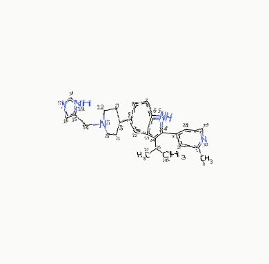 Cc1cc(-c2[nH]c3ccc(C4CCN(Cc5cnc[nH]5)CC4)cc3c2C(C)C)ccn1